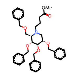 COC(=O)CCCN1C[C@H](OCc2ccccc2)[C@@H](OCc2ccccc2)[C@H](OCc2ccccc2)[C@H]1COCc1ccccc1